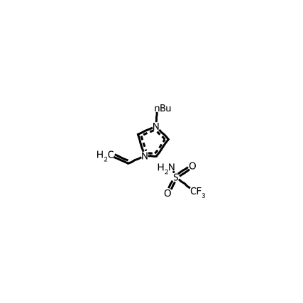 C=C[n+]1ccn(CCCC)c1.NS(=O)(=O)C(F)(F)F